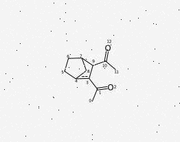 CC(=O)C1=C2CCC(C2)C1C(C)=O